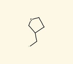 [CH2]CC1CCSC1